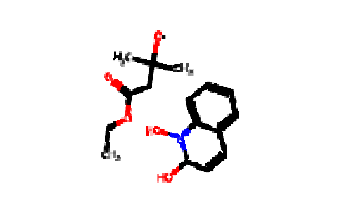 CCOC(=O)CC(C)(C)[O].OC1C=Cc2ccccc2N1O